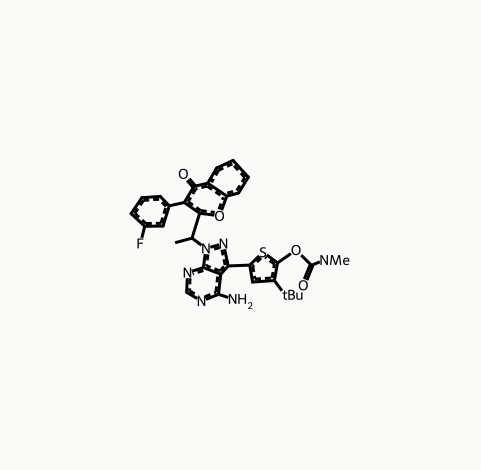 CNC(=O)Oc1sc(-c2nn(C(C)c3oc4ccccc4c(=O)c3-c3cccc(F)c3)c3ncnc(N)c23)cc1C(C)(C)C